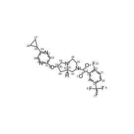 O=S(=O)(c1cc(C(F)(F)F)ccc1F)N1CCN2C[C@H](Oc3cnc(C4CC4)cn3)C[C@H]2C1